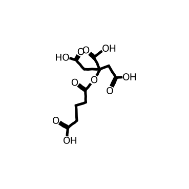 O=C(O)CCCC(=O)OC(CC(=O)O)(CC(=O)O)C(=O)O